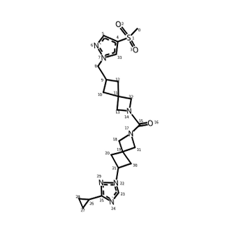 CS(=O)(=O)c1cnn(CC2CC3(C2)CN(C(=O)N2CC4(CC(n5cnc(C6CC6)n5)C4)C2)C3)c1